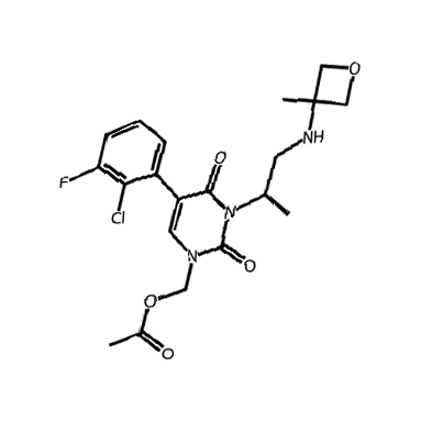 CC(=O)OCn1cc(-c2cccc(F)c2Cl)c(=O)n(C(C)CNC2(C)COC2)c1=O